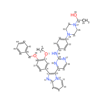 COc1cc(-c2nc3ccccn3c2-c2ccnc(Nc3ccc(N4CCN(C(C)O)CC4)cc3)n2)ccc1OCc1ccccc1